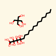 CCCCCCCCCCCCCCC(O)(O)C(O)(O)C(O)(O)C(=O)O.OCC(CO)(CO)CO